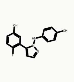 Oc1ccc(Nn2nccc2-c2cc(O)ccc2F)cc1